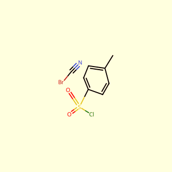 Cc1ccc(S(=O)(=O)Cl)cc1.N#CBr